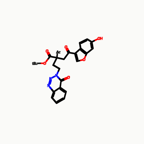 CC(=O)C(CCn1nnc2ccccc2c1=O)(CC(=O)c1coc2cc(O)ccc12)C(=O)OC(C)(C)C